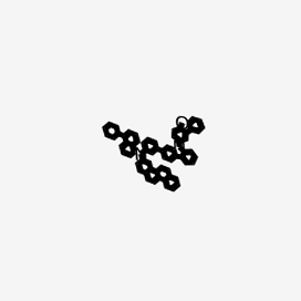 c1cc(-c2ccc3c4ccccc4n(-c4ccc5oc6ccccc6c5c4)c3c2)cc(N(c2ccc3ccc4c5ccccc5ccc4c3c2)c2cccc3c(C4CCCCC4)cccc23)c1